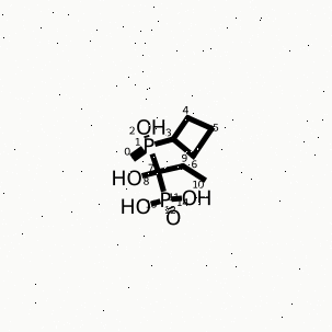 C=P(O)(C1CCC1)C(O)(CC)P(=O)(O)O